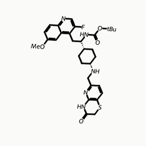 COc1ccc2ncc(F)c(CC(NC(=O)OC(C)(C)C)[C@H]3CC[C@@H](NCc4ccc5c(n4)NC(=O)CS5)CC3)c2c1